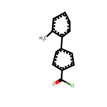 Cc1ccccc1-c1ccc(C(=O)Cl)cc1